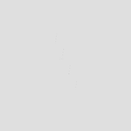 CCCC[Te+]CCCC